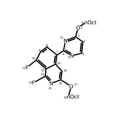 CCCCCCCCOc1ccnc(-c2ccc(F)c3c(F)nc(OCCCCCCCC)cc23)n1